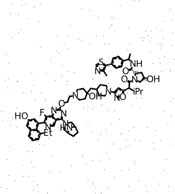 CCc1cccc2cc(O)cc(-c3ncc4c(N5CC6CCC(C5)N6)nc(OCCN5CCC(O)(CC6CCN(c7cc(C(C(=O)N8C[C@H](O)C[C@H]8C(=O)NC(C)c8ccc(-c9scnc9C)cc8)C(C)C)on7)CC6)CC5)nc4c3F)c12